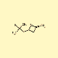 C=C1CC(CC(F)(C(F)(F)F)C(F)(F)F)O1